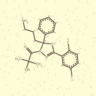 CC(C)(O)C(=O)N1N=C(c2cc(F)ccc2F)OC1(CCCN)c1ccccc1